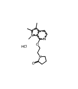 Cc1c(C)n(C)c2c(OCCN3CCCC3=O)nccc12.Cl